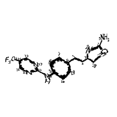 NC1=NC(C=Cc2ccc(Nc3ncc(C(F)(F)F)cn3)cc2)CO1